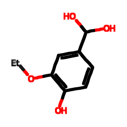 CCOc1cc(C(O)O)ccc1O